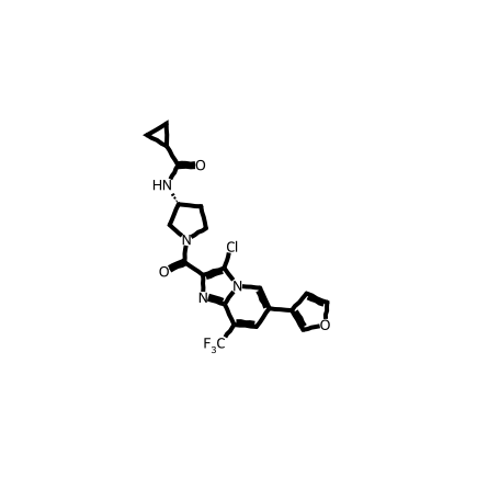 O=C(N[C@@H]1CCN(C(=O)c2nc3c(C(F)(F)F)cc(-c4ccoc4)cn3c2Cl)C1)C1CC1